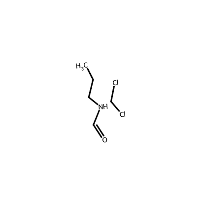 CCCNC=O.ClCCl